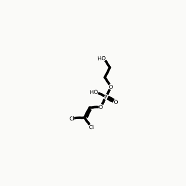 O=P(O)(OC=C(Cl)Cl)OCCO